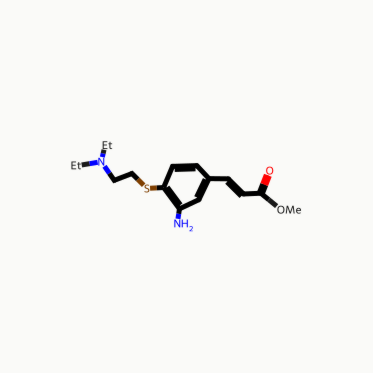 CCN(CC)CCSc1ccc(/C=C/C(=O)OC)cc1N